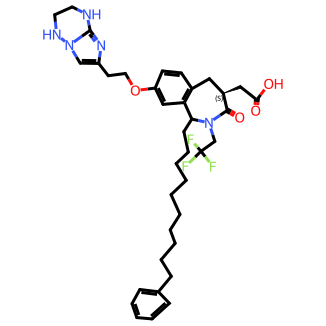 O=C(O)C[C@@H]1Cc2ccc(OCCc3cn4c(n3)NCCN4)cc2C(CCCCCCCCCCc2ccccc2)N(CC(F)(F)F)C1=O